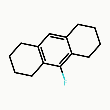 Fc1c2c(cc3c1CCCC3)CCCC2